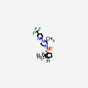 C[C@H]1CN([S+]([O-])C[C@]23CC[C@H](CC2F)C3(C)C)CCN1c1ccc(C(F)(F)F)cn1